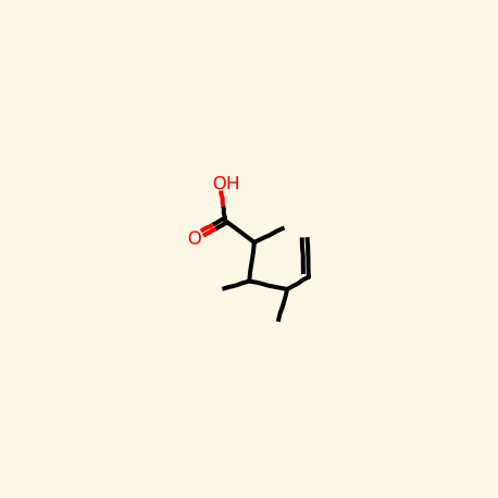 C=CC(C)C(C)C(C)C(=O)O